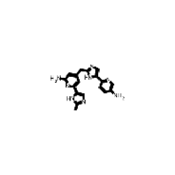 Cc1ncc(-c2cc(Cc3ncc(-c4ccc(N)cn4)[nH]3)cc(N)n2)[nH]1